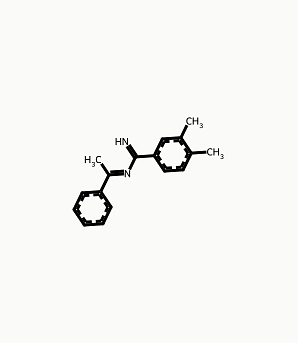 C/C(=N\C(=N)c1ccc(C)c(C)c1)c1ccccc1